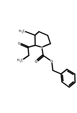 CCC(=O)C1C(C)CCCN1C(=O)OCc1ccccc1